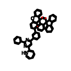 C1=CC=C(c2cc(-c3cccc(-c4ccc5c(c4)C4(c6ccccc6O5)c5ccccc5C5(c6ccccc6-c6ccccc65)c5ccccc54)c3)nc(-c3ccccc3)n2)NC=C1